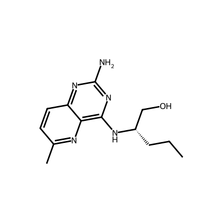 CCC[C@@H](CO)Nc1nc(N)nc2ccc(C)nc12